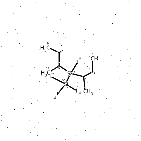 CCC(C)[Si](I)(C(C)CC)[Si](I)(I)I